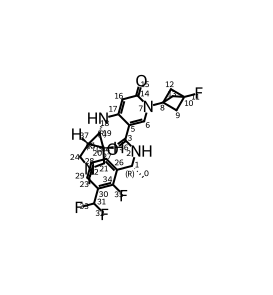 C[C@@H](NC(=O)c1cn(C23CC(F)(C2)C3)c(=O)cc1N[C@@H]1[C@@H]2CN(C)C[C@@H]21)c1cccc(C(F)F)c1F